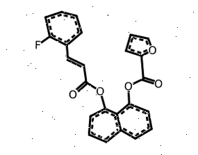 O=C(C=Cc1ccccc1F)Oc1cccc2cccc(OC(=O)c3ccco3)c12